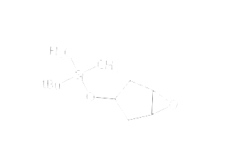 CC(C)(C)[Si](C)(C)OC1CC2OC2C1